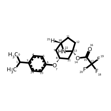 CC(C)c1ccc(O[C@@H]2C[C@@H]3CC[C@@](OC(=O)C(F)(F)F)(C2)N3)cc1